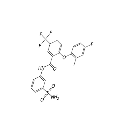 Cc1cc(F)ccc1OC1=CCC(C(F)(F)F)C=C1C(=O)Nc1cccc(S(N)(=O)=O)c1